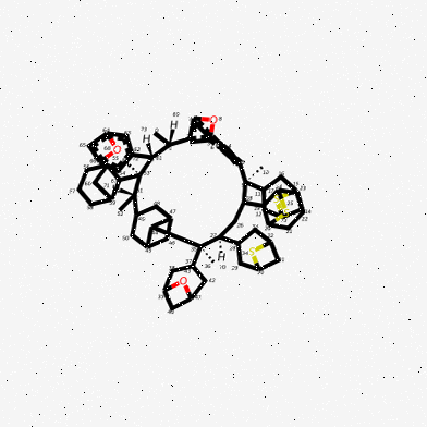 C[C@@H]1c2c3cc(cc2O3)[C@@](C)(C2CC3CC(C2)S3)C(C2C3CCCC2S3)C[C@@H](C2CC3CC(C2)S3)[C@@](C)(C2CC3CC(C2)O3)C2C3CC2CC(C3)[C@H](C)[C@@H](C2C3CCCC2C3)[C@@H]1c1cc2cc(c1)O2